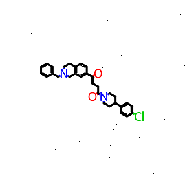 O=C(CCC(=O)N1CCC(c2ccc(Cl)cc2)CC1)c1ccc2c(c1)CN(Cc1ccccc1)CC2